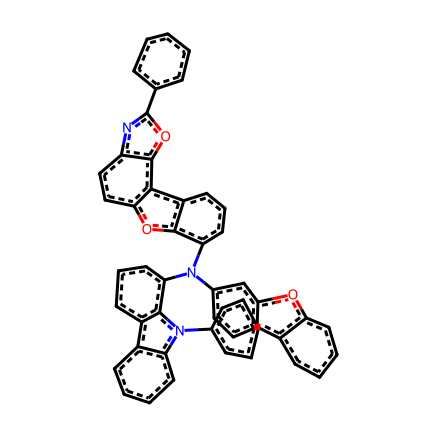 c1ccc(-c2nc3ccc4oc5c(N(c6ccc7c(c6)oc6ccccc67)c6cccc7c8ccccc8n(-c8ccccc8)c67)cccc5c4c3o2)cc1